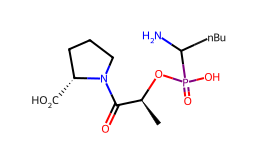 CCCCC(N)P(=O)(O)O[C@@H](C)C(=O)N1CCC[C@H]1C(=O)O